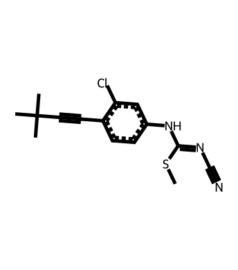 CS/C(=N\C#N)Nc1ccc(C#CC(C)(C)C)c(Cl)c1